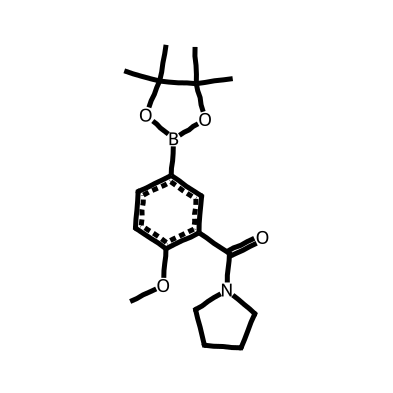 COc1ccc(B2OC(C)(C)C(C)(C)O2)cc1C(=O)N1CCCC1